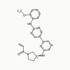 C=CC(=O)N1CC[C@H](Nc2cncc(-c3cnc(Nc4ccccc4OC(F)(F)F)nc3)n2)C1